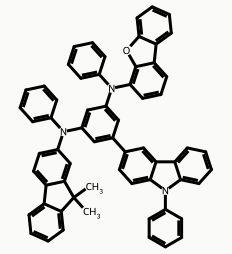 CC1(C)c2ccccc2-c2ccc(N(c3ccccc3)c3cc(-c4ccc5c(c4)c4ccccc4n5-c4ccccc4)cc(N(c4ccccc4)c4cccc5c4oc4ccccc45)c3)cc21